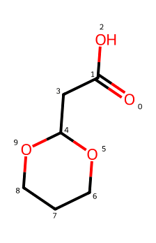 O=C(O)CC1OCCCO1